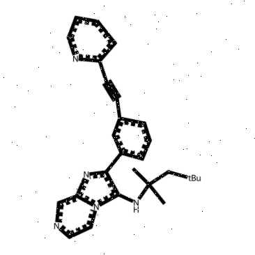 CC(C)(C)CC(C)(C)Nc1c(-c2cccc(C#Cc3ccccn3)c2)nc2cnccn12